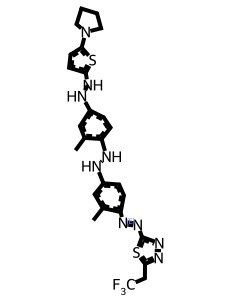 Cc1cc(NNc2ccc(NNc3ccc(N4CCCC4)s3)cc2C)ccc1/N=N/c1nnc(CC(F)(F)F)s1